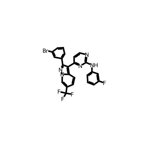 Fc1cccc(Nc2nccc(-c3c(-c4cccc(Br)c4)nn4cc(C(F)(F)F)ccc34)n2)c1